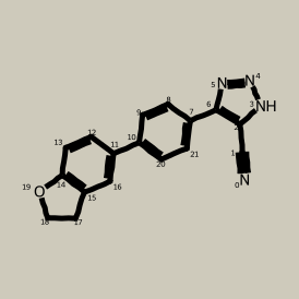 N#Cc1[nH]nnc1-c1ccc(-c2ccc3c(c2)CCO3)cc1